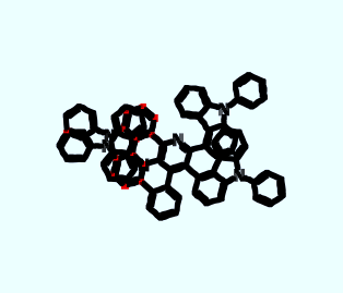 c1ccc(-c2cccc(-c3ccccc3-c3c(-c4cccc5c4c4ccccc4n5-c4ccccc4)c(-c4cccc5c4c4ccccc4n5-c4ccccc4)nc(-c4cccc5c4c4ccccc4n5-c4ccccc4)c3-c3cccc4c3c3ccccc3n4-c3ccccc3)n2)cc1